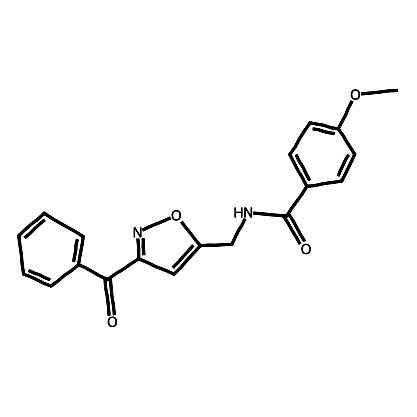 COc1ccc(C(=O)NCc2cc(C(=O)c3ccccc3)no2)cc1